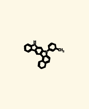 CC1C=C(n2c3cc4[nH]c5ccccc5c4cc3c3c4c(ccc32)CCC=C4)C=CC1